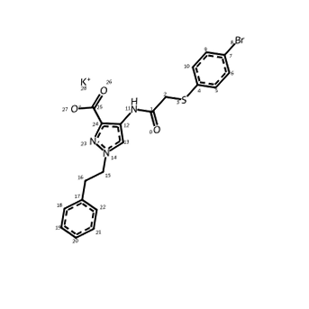 O=C(CSc1ccc(Br)cc1)Nc1cn(CCc2ccccc2)nc1C(=O)[O-].[K+]